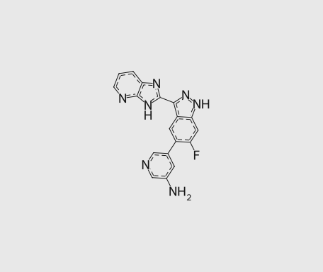 Nc1cncc(-c2cc3c(-c4nc5cccnc5[nH]4)n[nH]c3cc2F)c1